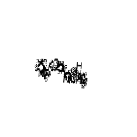 Cc1nc2c(c(N3CCOc4ccc(-c5cnc(N)c(S(=O)(=O)N[C@@H]6CCN(C)C6)c5)cc4C3)n1)CC(C)(C)CC2